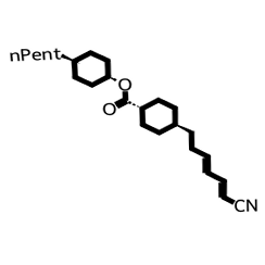 CCCCC[C@H]1CC[C@H](OC(=O)[C@H]2CC[C@H](CCC=CC=CC#N)CC2)CC1